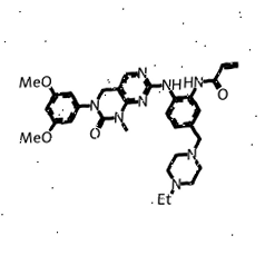 C=CC(=O)Nc1cc(CN2CCN(CC)CC2)ccc1Nc1ncc2c(n1)N(C)C(=O)N(c1cc(OC)cc(OC)c1)C2